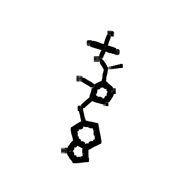 CCn1c(Oc2ccc3cc[nH]c3c2)nnc1[C@@H](C)NS(=O)(=O)CC